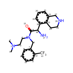 CN(C)CCN(Cc1ccccc1C(F)(F)F)C(=O)C(N)c1cccc2c1CCNC2